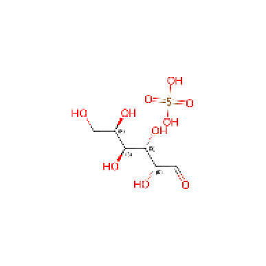 O=C[C@H](O)[C@@H](O)[C@@H](O)[C@H](O)CO.O=S(=O)(O)O